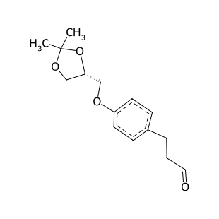 CC1(C)OC[C@@H](COc2ccc(CCC=O)cc2)O1